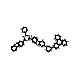 c1ccc(C2N=C(c3ccc4c(c3)sc3ccccc34)N=C(c3ccc4c(c3)sc3cc(-c5cccc(-c6ccc7c8ccccc8c8ccccc8c7c6)c5)ccc34)N2)cc1